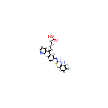 O=C(O)CCC/C=C(\c1cccnc1)c1cccc(NC(=S)Nc2cccc(Cl)c2)c1